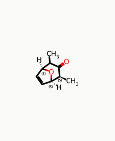 CC1C(=O)[C@@H](C)[C@H]2C=C[C@@H]1O2